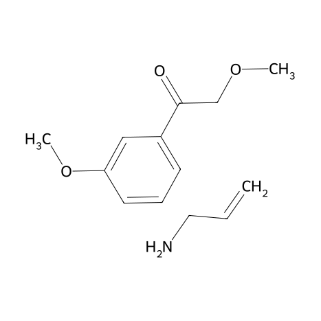 C=CCN.COCC(=O)c1cccc(OC)c1